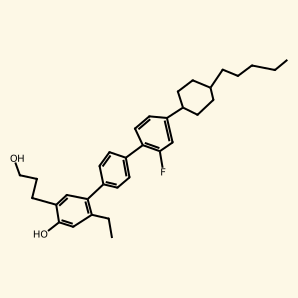 CCCCCC1CCC(c2ccc(-c3ccc(-c4cc(CCCO)c(O)cc4CC)cc3)c(F)c2)CC1